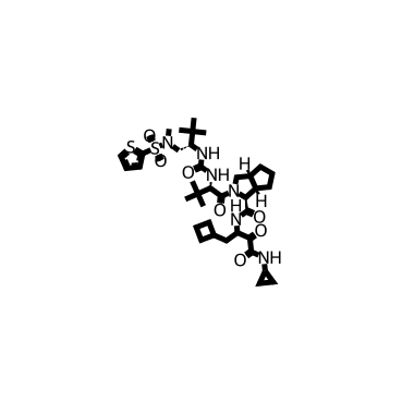 CN(C[C@@H](NC(=O)N[C@H](C(=O)N1C[C@@H]2CCC[C@@H]2[C@H]1C(=O)NC(CC1CCC1)C(=O)C(=O)NC1CC1)C(C)(C)C)C(C)(C)C)S(=O)(=O)c1cccs1